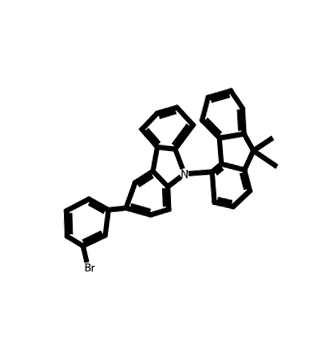 CC1(C)c2ccccc2-c2c(-n3c4ccccc4c4cc(-c5cccc(Br)c5)ccc43)cccc21